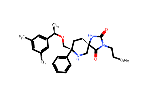 COCCN1C(=O)N[C@@]2(CC[C@@](CO[C@H](C)c3cc(C(F)(F)F)cc(C(F)(F)F)c3)(c3ccccc3)NC2)C1=O